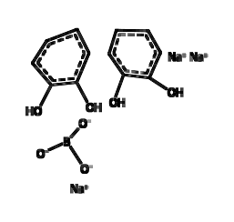 Oc1ccccc1O.Oc1ccccc1O.[Na+].[Na+].[Na+].[O-]B([O-])[O-]